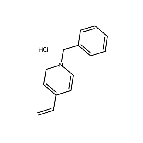 C=CC1=CCN(Cc2ccccc2)C=C1.Cl